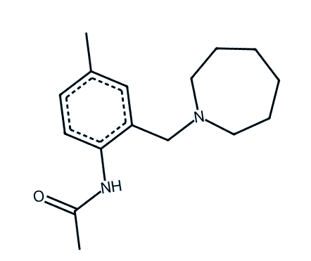 CC(=O)Nc1ccc(C)cc1CN1CCCCCC1